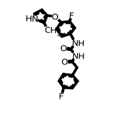 Cc1[nH]ccc1Oc1ccc(NC(=O)NC(=O)Cc2ccc(F)cc2)cc1F